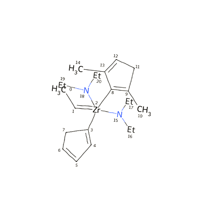 C[CH]=[Zr]([C]1=CC=CC1)([C]1=C(C)CC=C1C)([N](CC)CC)[N](CC)CC